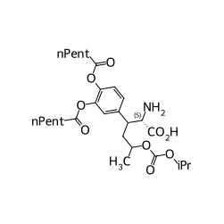 CCCCCC(=O)Oc1ccc(C(CC(C)OC(=O)OC(C)C)[C@H](N)C(=O)O)cc1OC(=O)CCCCC